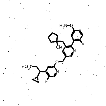 N#CC1(Cc2cc(COc3cc(C(CC(=O)O)C4CC4)c(F)cn3)cnc2-c2cc(ON)ccc2F)CCCC1